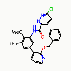 COc1c(NC(=O)c2ccc(Cl)nn2)cc(-c2cccnc2OCc2ccccc2)cc1C(C)(C)C